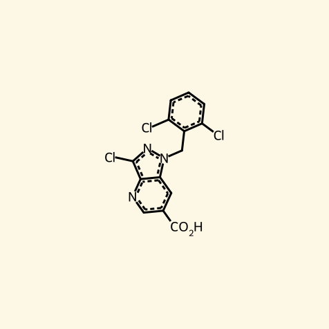 O=C(O)c1cnc2c(Cl)nn(Cc3c(Cl)cccc3Cl)c2c1